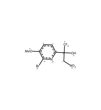 COc1ccc(C(O)(C[N+](=O)[O-])C(F)(F)F)nc1Br